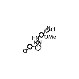 COc1cc(Nc2nc3n(n2)CCCC[C@H]3c2cccc(Cl)c2)ccc1-n1cnc(Cl)c1